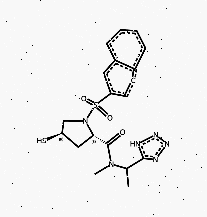 CC(c1nnn[nH]1)N(C)C(=O)[C@@H]1C[C@@H](S)CN1S(=O)(=O)c1ccc2ccccc2c1